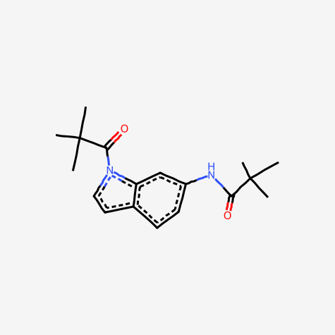 CC(C)(C)C(=O)Nc1ccc2ccn(C(=O)C(C)(C)C)c2c1